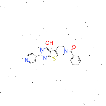 O=C(c1ccccc1)N1CCc2c(sc3nc(-c4ccncc4)nc(O)c23)C1